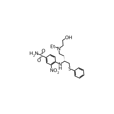 CCN(CCO)CC[C@H](CSc1ccccc1)Nc1ccc(S(N)(=O)=O)cc1[N+](=O)[O-]